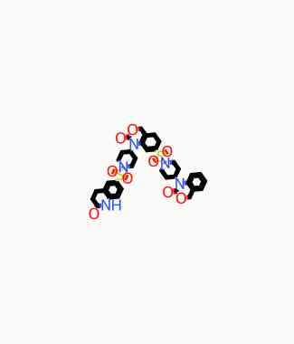 O=C1CCc2cc(S(=O)(=O)N3CCC(N4C(=O)OCC5=C4C=C(S(=O)(=O)N4CCC(N6C(=O)OCc7ccccc76)CC4)CC5)CC3)ccc2N1